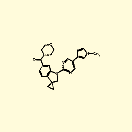 Cn1ccc(-c2cnc(N3CC4(CC4)c4ccc(C(=O)N5CCOCC5)cc43)nc2)c1